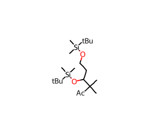 CC(=O)C(C)(C)C(CCO[Si](C)(C)C(C)(C)C)O[Si](C)(C)C(C)(C)C